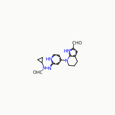 O=Cc1cc2c([nH]1)N(c1cc[nH]/c(=N\N(C=O)C3CC3)c1)CCC2